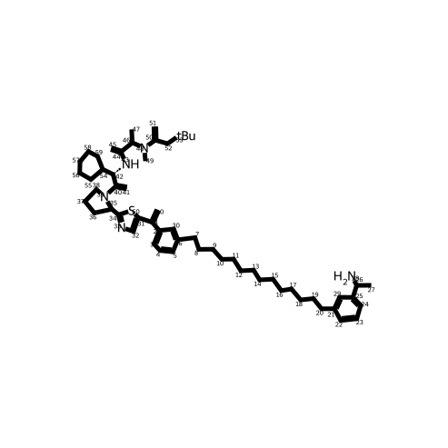 C=C(c1cccc(CCCCCCCCCCCCCCc2cccc(C(C)N)c2)c1)c1cnc(C2CCCN2C(=C)[C@@H](NC(=C)C(C)N(C)C(=C)CC(C)(C)C)C2CCCCC2)s1